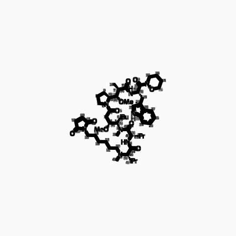 CC[C@H](C)[C@@H]([C@@H](CC(=O)N1CCC[C@H]1[C@H](OC)[C@@H](C)C(=O)N[C@@H](Cc1c[nH]c2ccccc12)C(=O)N1CCCCO1)OC)N(C)C(=O)[C@@H](NC(=O)[C@H](C(C)C)N(C)CCCCCCN1C(=O)C=CC1=O)C(C)C